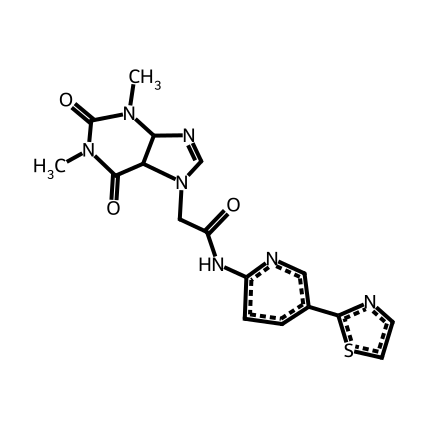 CN1C(=O)C2C(N=CN2CC(=O)Nc2ccc(-c3nccs3)cn2)N(C)C1=O